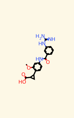 COc1cc(NC(=O)c2cccc(NC(=N)N)c2)ccc1C1CC1C(=O)O